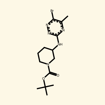 Cc1nc(NC2CCCN(C(=O)OC(C)(C)C)C2)nnc1Br